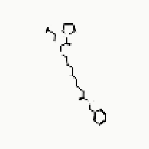 NC(=O)CC[C@H](NCCCCCCCC(=O)OCc1ccccc1)C(=O)N1CCCC1